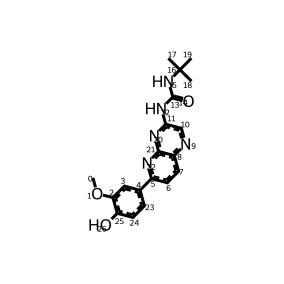 COc1cc(-c2ccc3ncc(NC(=O)NC(C)(C)C)nc3n2)ccc1O